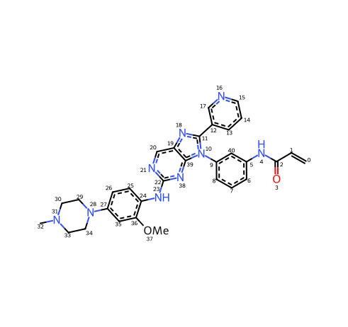 C=CC(=O)Nc1cccc(-n2c(-c3cccnc3)nc3cnc(Nc4ccc(N5CCN(C)CC5)cc4OC)nc32)c1